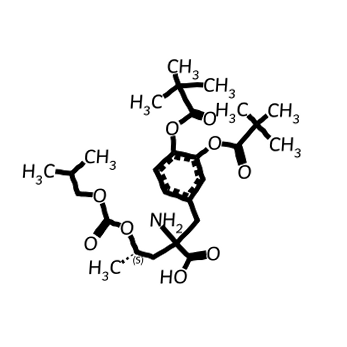 CC(C)COC(=O)O[C@@H](C)CC(N)(Cc1ccc(OC(=O)C(C)(C)C)c(OC(=O)C(C)(C)C)c1)C(=O)O